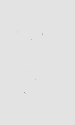 CC1CN(CN)CCN1CC(=O)N(C)C